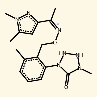 C/C(=N/OCc1c(C)cccc1N1NNN(C)C1=O)c1cc(C)n(C)n1